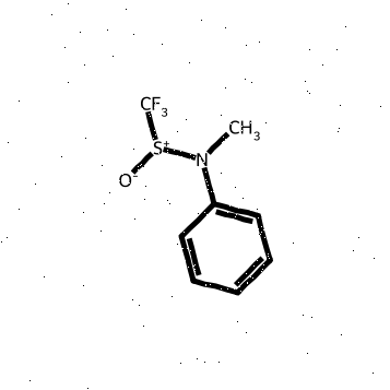 CN(c1ccccc1)[S+]([O-])C(F)(F)F